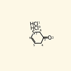 Cl.Cl.O=C1CC=CSC1